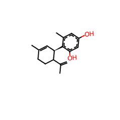 C=C(C)C1CCC(C)=C[C@H]1c1c(C)cc(O)cc1O